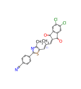 C/C(C=C1C(=O)c2cc(Cl)c(Cl)cc2C1=O)=C\c1sc(-c2ccc(C#N)cc2)nc1C